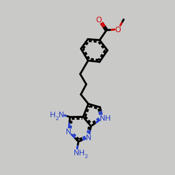 COC(=O)c1ccc(CCCc2c[nH]c3nc(N)nc(N)c23)cc1